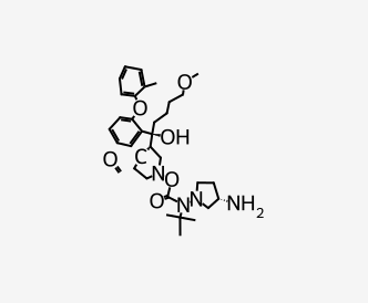 C=O.COCCCC[C@@](O)(c1ccccc1Oc1ccccc1C)[C@@H]1CCCN(OC(=O)N(N2CC[C@H](N)C2)C(C)(C)C)C1